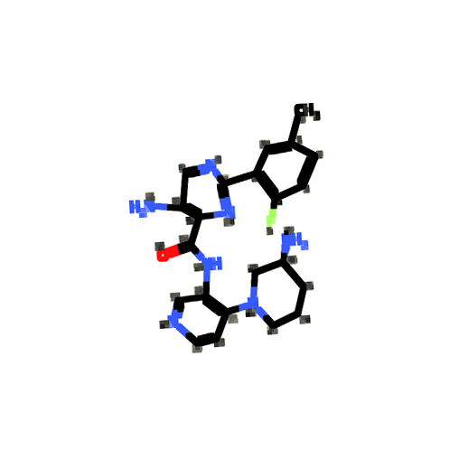 Cc1ccc(F)c(-c2ncc(N)c(C(=O)Nc3cnccc3N3CCC[C@H](N)C3)n2)c1